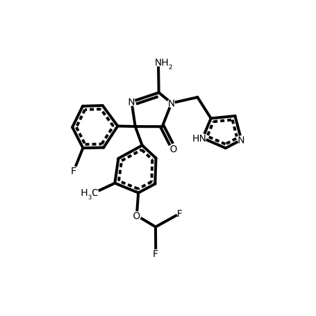 Cc1cc(C2(c3cccc(F)c3)N=C(N)N(Cc3cnc[nH]3)C2=O)ccc1OC(F)F